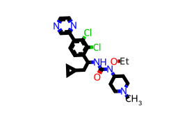 CCON(C(=O)NC(CC1CC1)c1ccc(-c2cnccn2)c(Cl)c1Cl)C1CCN(C)CC1